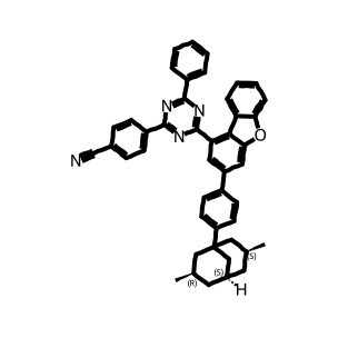 C[C@@H]1C[C@@H]2C[C@H](C)CC(c3ccc(-c4cc(-c5nc(-c6ccccc6)nc(-c6ccc(C#N)cc6)n5)c5c(c4)oc4ccccc45)cc3)(C1)C2